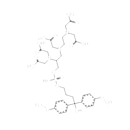 COc1ccc(C(C)(CCCOP(=O)(O)OCC(CN(CCN(CC(=O)O)CC(=O)O)CC(=O)O)N(CC(=O)O)CC(=O)O)c2ccc(OC)cc2)cc1